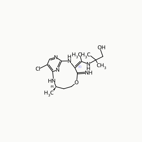 C/C(NC(C)(C)CO)=C1\Nc2ncc(Cl)c(n2)N[C@H](C)CCOC1=N